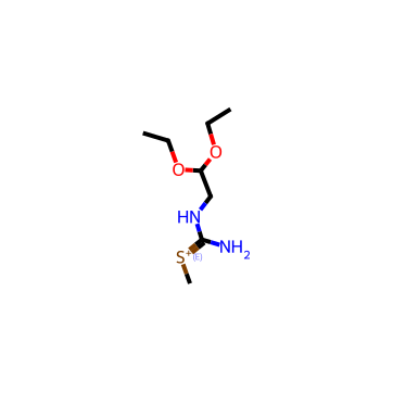 CCOC(CN/C(N)=[S+]/C)OCC